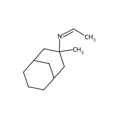 C/C=N\C1(C)CC2CCCC(C2)C1